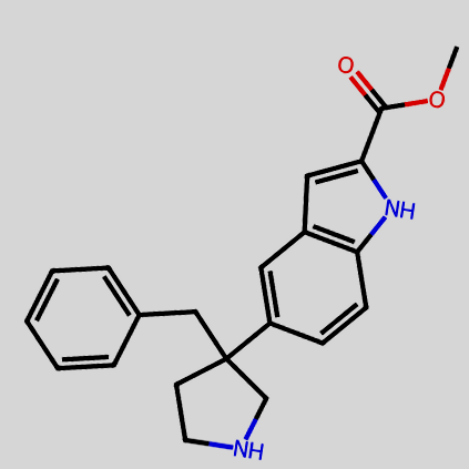 COC(=O)c1cc2cc(C3(Cc4ccccc4)CCNC3)ccc2[nH]1